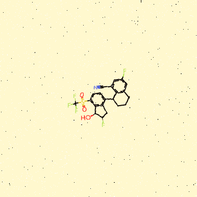 N#Cc1cc(F)cc2c1C(c1ccc(S(=O)(=O)C(F)(F)F)c3c1C[C@@H](F)[C@H]3O)CCC2